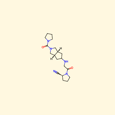 N#C[C@@H]1CCCN1C(=O)CNC1C[C@@H]2CN(C(=O)N3CCCC3)C[C@@H]2C1